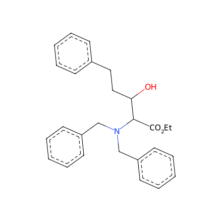 CCOC(=O)C(C(O)CCc1ccccc1)N(Cc1ccccc1)Cc1ccccc1